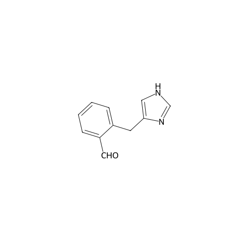 O=Cc1ccccc1Cc1c[nH]cn1